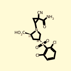 N#CC1(C(N)=O)CC1N1C[C@H](S(=O)(=O)c2c(Cl)cccc2Cl)C[C@H]1C(=O)O